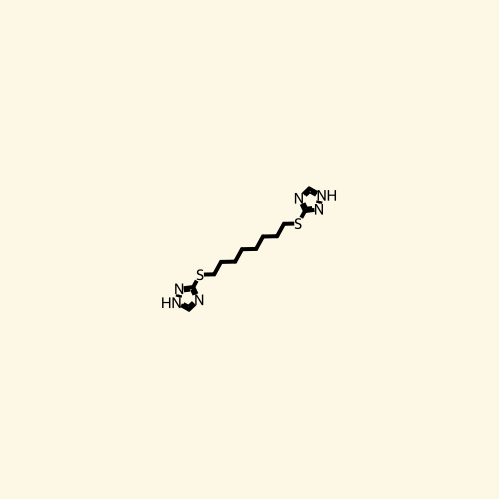 c1nc(SCCCCCCCCSc2nc[nH]n2)n[nH]1